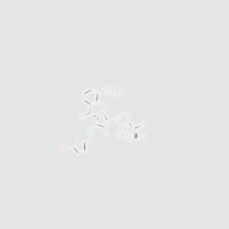 Cc1c(C2CCN(C(=O)C(C)(C)C)C2C(=O)O)nn(C(=O)c2cccc(C(=O)O)c2Cl)c1OCc1ccc(Cl)s1